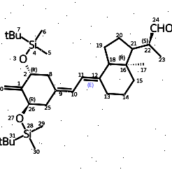 C=C1[C@H](O[Si](C)(C)C(C)(C)C)CC(=C/C=C2\CCC[C@@]3(C)C2CCC3[C@H](C)C=O)C[C@H]1O[Si](C)(C)C(C)(C)C